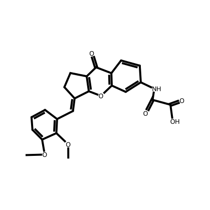 COc1cccc(C=C2CCc3c2oc2cc(NC(=O)C(=O)O)ccc2c3=O)c1OC